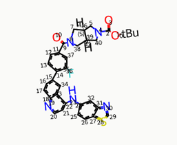 CC(C)(C)OC(=O)N1C[C@@H]2CN(C(=O)c3ccc(-c4ccc5nccc(Nc6ccc7scnc7c6)c5c4)c(F)c3)C[C@@H]2C1